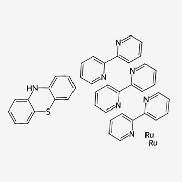 [Ru].[Ru].c1ccc(-c2ccccn2)nc1.c1ccc(-c2ccccn2)nc1.c1ccc(-c2ccccn2)nc1.c1ccc2c(c1)Nc1ccccc1S2